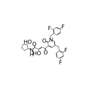 O=C(N[C@H]1CCC[C@@H]1O)C(O)=CC(=O)c1cc(Cc2ccc(F)cc2F)cn(Cc2ccc(F)cc2F)c1=O